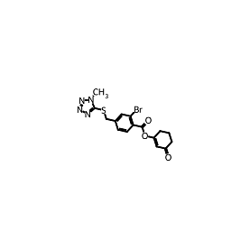 Cn1nnnc1SCc1ccc(C(=O)OC2=CC(=O)CCC2)c(Br)c1